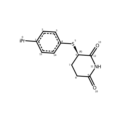 CC(C)c1ccc(S[C@@H]2CCC(=O)NC2=O)cc1